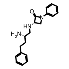 N[C@@H](CCc1ccccc1)CN[C@H]1CN(c2ccccc2)C1=O